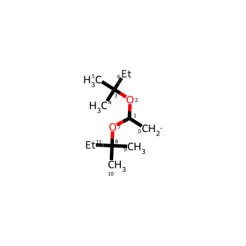 [CH2]C(OC(C)(C)CC)OC(C)(C)CC